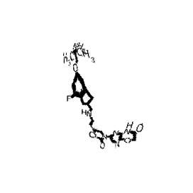 CC(C)(N)COc1cc(F)c2c(c1)CC(CNCC[C@@H]1CN(c3cnc4c(n3)NC(=O)CO4)C(=O)O1)C2